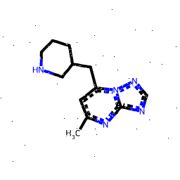 Cc1cc(CC2CCCNC2)n2ncnc2n1